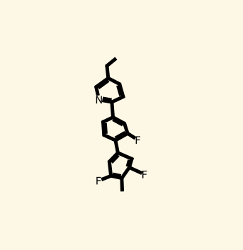 CCc1ccc(-c2ccc(-c3cc(F)c(C)c(F)c3)c(F)c2)nc1